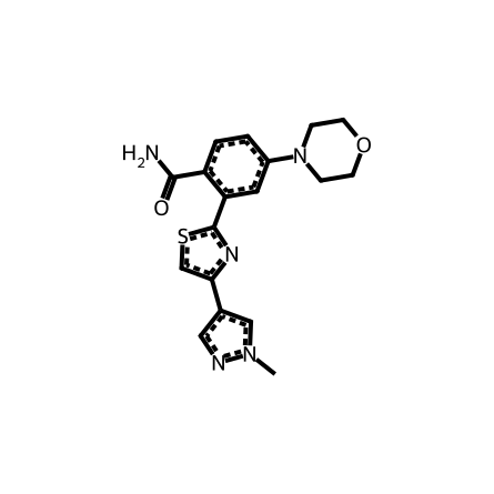 Cn1cc(-c2csc(-c3cc(N4CCOCC4)ccc3C(N)=O)n2)cn1